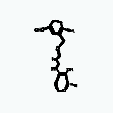 C[C@@H]1OCC[C@H](NCNCOCC2=C(O)CCC(C=O)=C2)[C@@H]1O